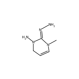 CN1C=CCN(N)C1=NN